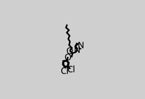 CCCCCCCCCOC(COc1ccc(Cl)c(Cl)c1)Cn1ccnc1